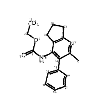 Cc1nc2c(c(NC(=O)OCC(Cl)(Cl)Cl)c1-c1ccccc1)CCC2